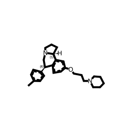 Cc1ccc([C@H]2CN3CCC[C@H]3c3cc(OCCCN4CCCCC4)ccc32)cc1